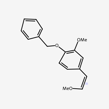 CO/C=C\c1ccc(OCc2ccccc2)c(OC)c1